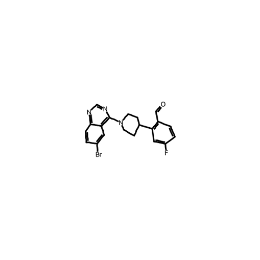 O=Cc1ccc(F)cc1C1CCN(c2ncnc3ccc(Br)cc23)CC1